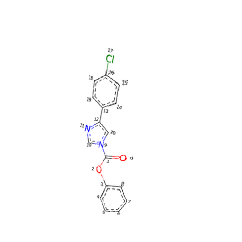 O=C(Oc1ccccc1)n1cnc(-c2ccc(Cl)cc2)c1